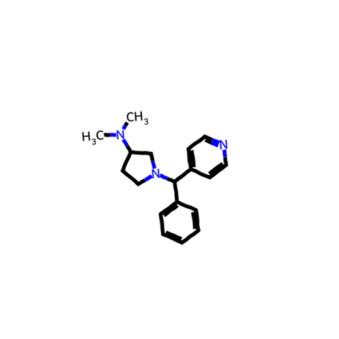 CN(C)C1CCN(C(c2ccccc2)c2ccncc2)C1